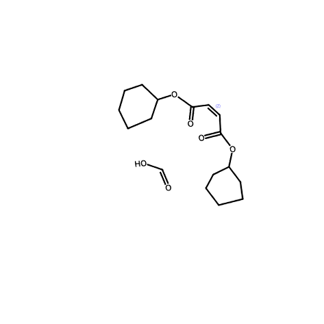 O=C(/C=C\C(=O)OC1CCCCC1)OC1CCCCC1.O=CO